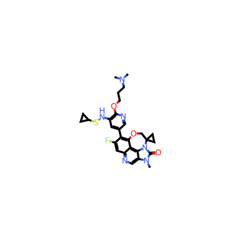 CN(C)CCCOc1ncc(-c2c(F)cc3ncc4c5c3c2OCC2(CC2)n5c(=O)n4C)cc1NSC1CC1